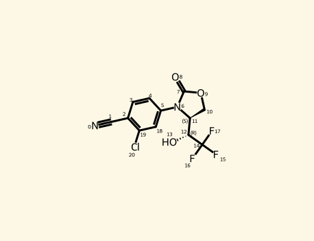 N#Cc1ccc(N2C(=O)OC[C@H]2[C@@H](O)C(F)(F)F)cc1Cl